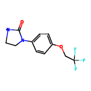 O=C1[N]CCN1c1ccc(OCC(F)(F)F)cc1